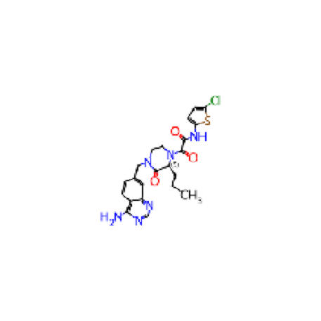 CCC[C@H]1C(=O)N(Cc2ccc3c(N)ncnc3c2)CCN1C(=O)C(=O)Nc1ccc(Cl)s1